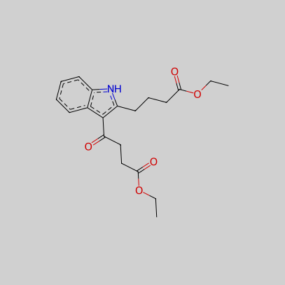 CCOC(=O)CCCc1[nH]c2ccccc2c1C(=O)CCC(=O)OCC